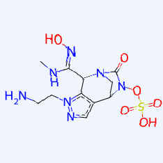 CN/C(=N\O)C1c2c(cnn2CCN)C2CN1C(=O)N2OS(=O)(=O)O